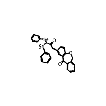 O=C1c2ccccc2COc2ccc(CC(=O)C([Se]c3ccccc3)[Se]c3ccccc3)cc21